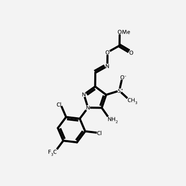 COC(=O)ON=Cc1nn(-c2c(Cl)cc(C(F)(F)F)cc2Cl)c(N)c1[S+](C)[O-]